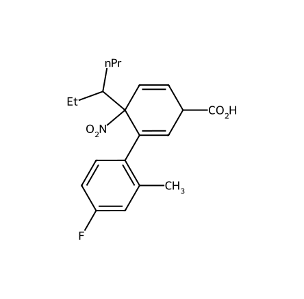 CCCC(CC)C1([N+](=O)[O-])C=CC(C(=O)O)C=C1c1ccc(F)cc1C